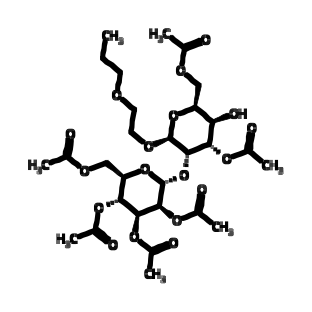 CCCOCCO[C@H]1O[C@@H](COC(C)=O)[C@@H](O)[C@H](OC(C)=O)[C@@H]1O[C@H]1O[C@H](COC(C)=O)[C@@H](OC(C)=O)[C@H](OC(C)=O)[C@@H]1OC(C)=O